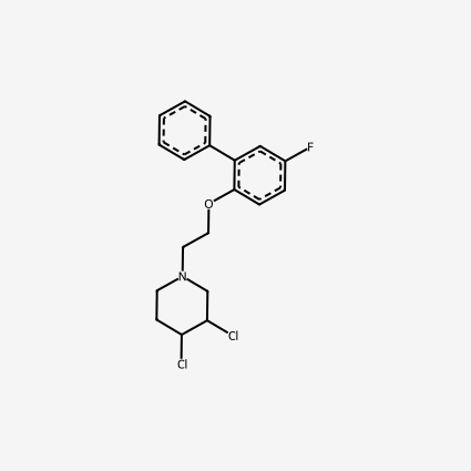 Fc1ccc(OCCN2CCC(Cl)C(Cl)C2)c(-c2ccccc2)c1